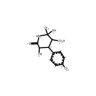 N#CC1C(=O)NC(O)(C(F)(F)F)C(C(=O)O)C1c1ccc(C(F)(F)F)cc1